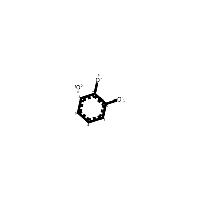 [O+2].[O-]c1ccccc1[O-]